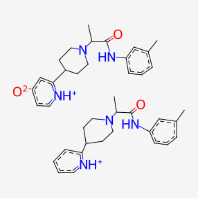 Cc1cccc(NC(=O)C(C)N2CCC(c3cccc[nH+]3)CC2)c1.Cc1cccc(NC(=O)C(C)N2CCC(c3cccc[nH+]3)CC2)c1.[O-2]